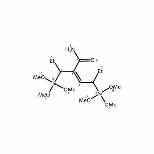 CCC(/C=C(\C(N)=O)C(CC)[Si](OC)(OC)OC)[Si](OC)(OC)OC